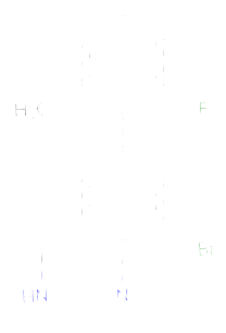 Cc1cccc(F)c1-c1cc(Br)c2c(c1)CNC=N2